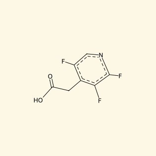 O=C(O)Cc1c(F)cnc(F)c1F